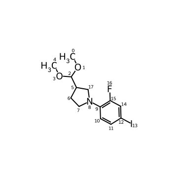 COC(OC)C1CCN(c2ccc(I)cc2F)C1